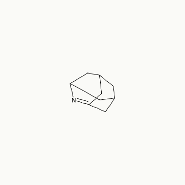 C1C2=NC3CC1CC(C2)C3